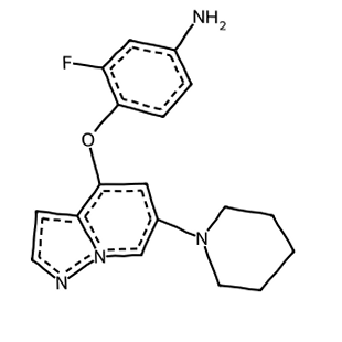 Nc1ccc(Oc2cc(N3CCCCC3)cn3nccc23)c(F)c1